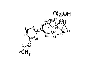 CCOc1cccc(-c2ccc3c(c2)CCC2(CC2)[C@]3(C=O)NC(=O)O)c1